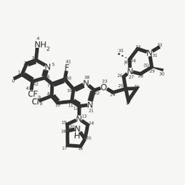 Cc1cc(N)nc(-c2c(Cl)cc3c(N4CC5CCC(C4)N5)nc(OCC4(CN5C[C@H](C)N(C)C[C@H]5C)CC4)nc3c2F)c1C(F)(F)F